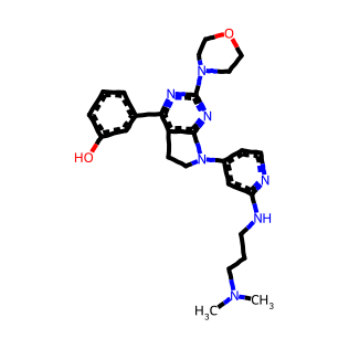 CN(C)CCCNc1cc(N2CCc3c(-c4cccc(O)c4)nc(N4CCOCC4)nc32)ccn1